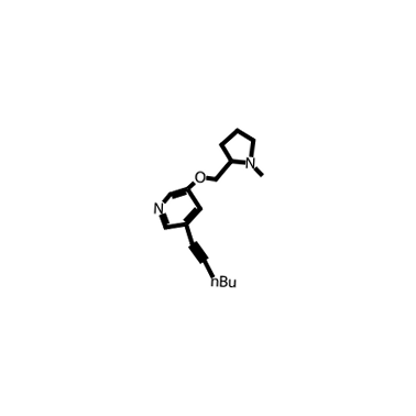 CCCCC#Cc1cncc(OCC2CCCN2C)c1